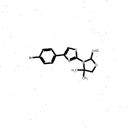 CC1(C)COC(C=O)N1c1nc(-c2ccc(Br)cc2)cs1